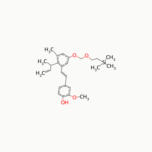 C=CC(C)c1c(C)cc(OCOCC[Si](C)(C)C)cc1/C=C/c1ccc(O)c(OC)c1